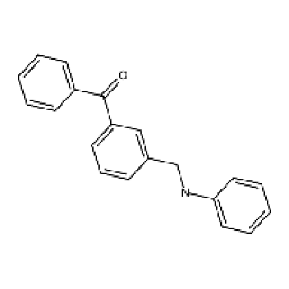 O=C(c1ccccc1)c1cccc(C[N]c2ccccc2)c1